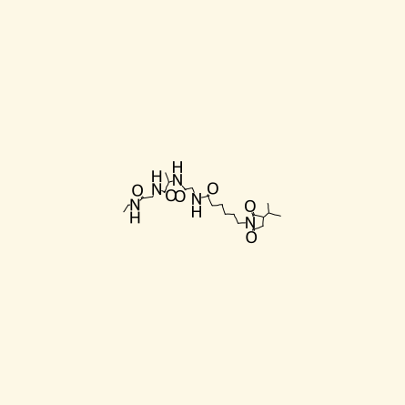 CCNC(=O)CNC(=O)C(C)NC(=O)CNC(=O)CCCCCN1C(=O)CC(C(C)C)C1=O